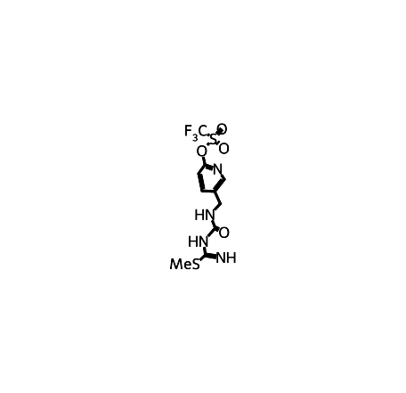 CSC(=N)NC(=O)NCc1ccc(OS(=O)(=O)C(F)(F)F)nc1